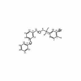 Cc1ccc(C(C)(C)COCc2cccc(Oc3ccccc3)c2)cc1Br